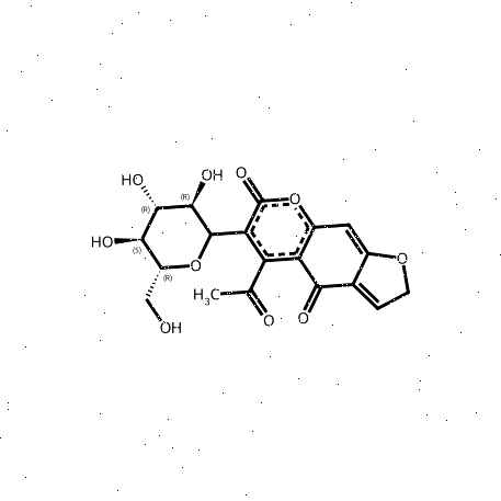 CC(=O)c1c2c(oc(=O)c1C1O[C@H](CO)[C@@H](O)[C@H](O)[C@H]1O)C=C1OCC=C1C2=O